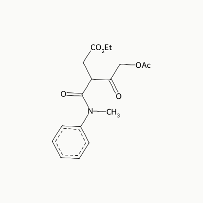 CCOC(=O)CC(C(=O)COC(C)=O)C(=O)N(C)c1ccccc1